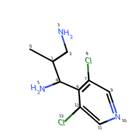 CC(CN)C(N)c1c(Cl)cncc1Cl